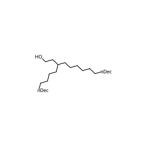 CCCCCCCCCCCCCCCCC(CCO)CCCCCCCCCCCCCC